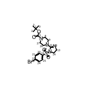 CC(C)(C)OC(=O)N1CCN(C2=NCCN2S(=O)(=O)c2ccc(Br)cc2)CC1